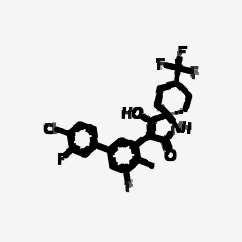 Cc1c(F)cc(-c2ccc(Cl)c(F)c2)cc1C1=C(O)[C@]2(CC[C@H](C(F)(F)F)CC2)NC1=O